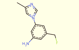 Cc1cn(-c2cc(N)cc(CF)c2)cn1